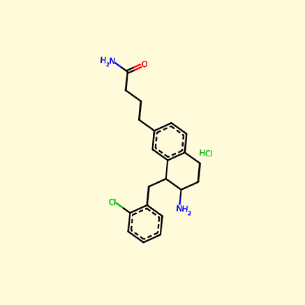 Cl.NC(=O)CCCc1ccc2c(c1)C(Cc1ccccc1Cl)C(N)CC2